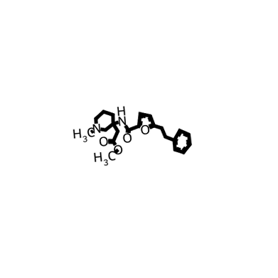 COC(=O)CC1(NC(=O)c2ccc(CCc3ccccc3)o2)CCCN(C)C1